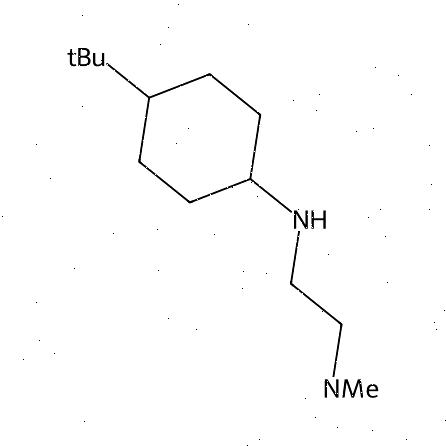 CNCCNC1CCC(C(C)(C)C)CC1